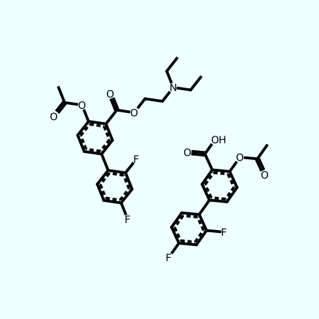 CC(=O)Oc1ccc(-c2ccc(F)cc2F)cc1C(=O)O.CCN(CC)CCOC(=O)c1cc(-c2ccc(F)cc2F)ccc1OC(C)=O